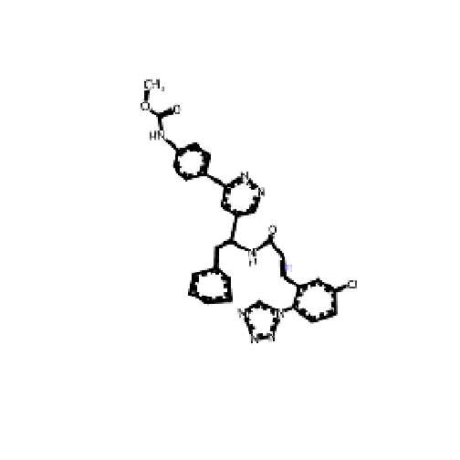 COC(=O)Nc1ccc(-c2cc(C(Cc3ccccc3)NC(=O)/C=C/c3cc(Cl)ccc3-n3cnnn3)cnn2)cc1